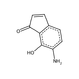 Nc1ccc2c(c1O)C(=O)C=C2